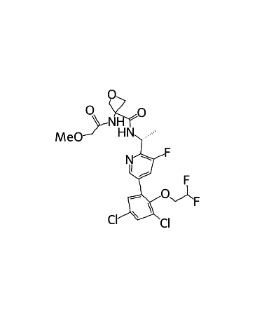 COCC(=O)NC1(C(=O)N[C@H](C)c2ncc(-c3cc(Cl)cc(Cl)c3OCC(F)F)cc2F)COC1